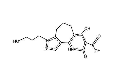 O=C(O)c1c(O)c2c([nH]c1=O)-c1cnn(CCCO)c1CCC2